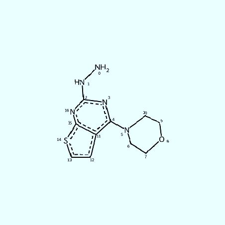 NNc1nc(N2CCOCC2)c2ccsc2n1